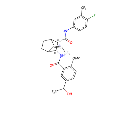 COc1ccc(C(O)C(F)(F)F)cc1C(=O)N[C@@H]1C2CCC(/C2=C/C(F)(F)F)[C@@H]1C(=O)Nc1ccc(F)c(C(F)(F)F)c1